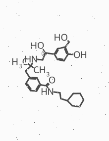 CC(C)(Cc1cccc(C(=O)NCCC2CCCCC2)c1)NC[C@@H](O)c1ccc(O)c(CO)c1